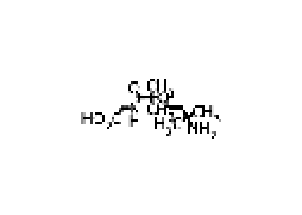 CC(C)(N)CCOC(C)(C)C(=O)NCC(=O)O